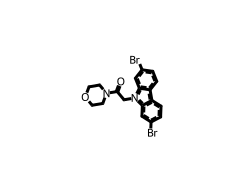 O=C(Cn1c2cc(Br)ccc2c2ccc(Br)cc21)N1CCOCC1